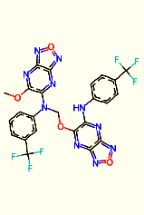 COc1nc2nonc2nc1N(COc1nc2nonc2nc1Nc1ccc(C(F)(F)F)cc1)c1cccc(C(F)(F)F)c1